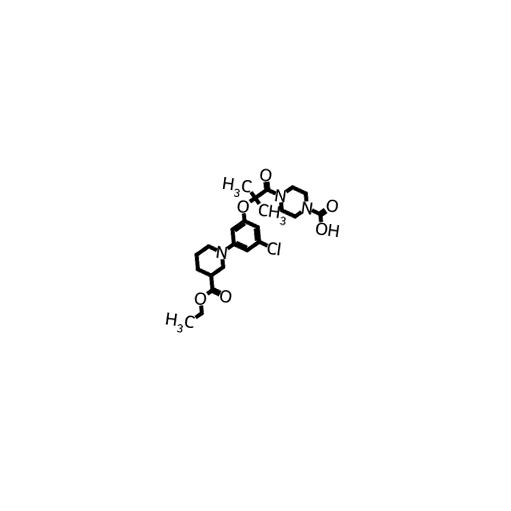 CCOC(=O)C1CCCN(c2cc(Cl)cc(OC(C)(C)C(=O)N3CCN(C(=O)O)CC3)c2)C1